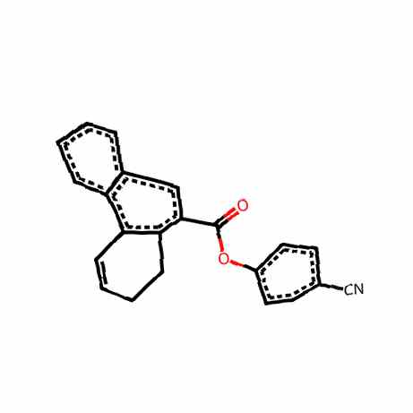 N#Cc1ccc(OC(=O)c2cc3ccccc3c3c2CCC=C3)cc1